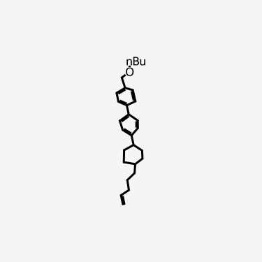 C=CCCCC1CCC(c2ccc(-c3ccc(COCCCC)cc3)cc2)CC1